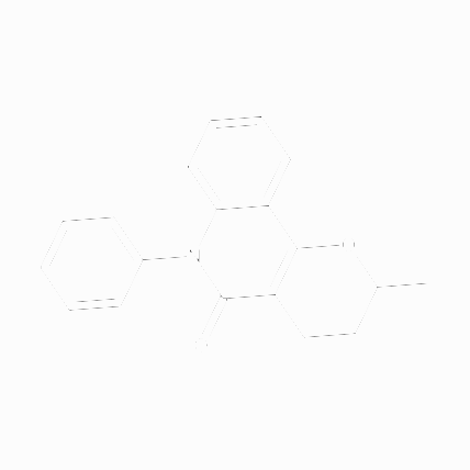 CC1CCc2c(c3ccccc3n(-c3ccccc3)c2=O)O1